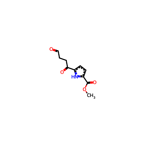 COC(=O)c1ccc(C(=O)CCC=O)[nH]1